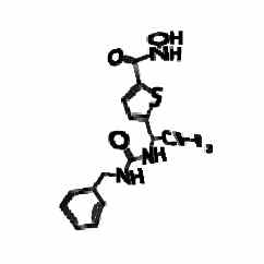 CC(NC(=O)NCC1=C=C=CC=C1)c1ccc(C(=O)NO)s1